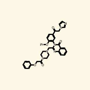 CC(C)Oc1ccc(C(=O)Cn2ccnc2)cc1-n1c(CN2CCN(C(=O)COc3ccccc3)CC2)nc2ccccc2c1=O